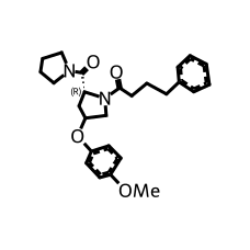 COc1ccc(OC2C[C@H](C(=O)N3CCCC3)N(C(=O)CCCc3ccccc3)C2)cc1